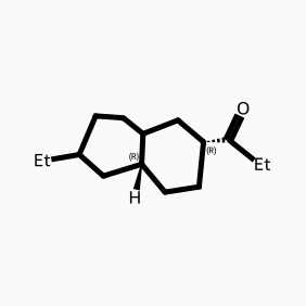 CCC(=O)[C@@H]1CC[C@@H]2CC(CC)CCC2C1